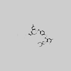 Cc1cnc(N2CC3(CCOCC3)C2)c(C(=O)Nc2ccc(C(=O)N3CCc4cc(C(=O)O)sc4-c4cc(C)sc43)cc2)c1